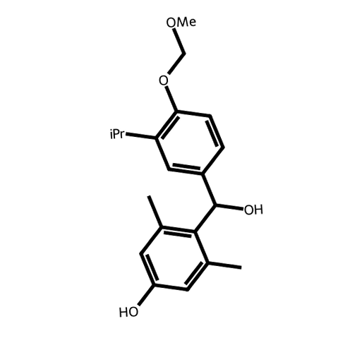 COCOc1ccc(C(O)c2c(C)cc(O)cc2C)cc1C(C)C